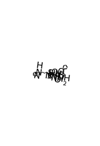 NC(C(=O)c1nnc(CCCCNc2ccccn2)s1)[C@H](NC(=O)OCc1ccccc1)C(=O)O